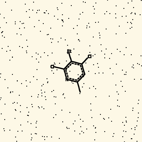 CCc1c(Cl)cc(C)nc1Cl